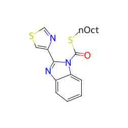 CCCCCCCCSC(=O)n1c(-c2cscn2)nc2ccccc21